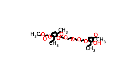 CCCc1c(OCCOCCOCCOCCOc2c(C(C)=O)ccc(OCC(=O)OCC)c2CCC)ccc(C(C)=O)c1O